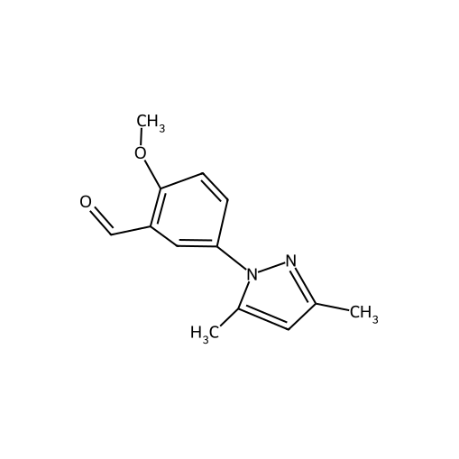 COc1ccc(-n2nc(C)cc2C)cc1C=O